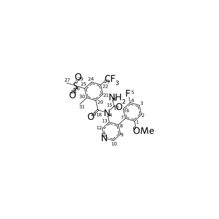 COc1ccc(F)cc1-c1ccncc1N(C(N)=O)C(=O)c1cc(C(F)(F)F)cc(S(C)(=O)=O)c1C